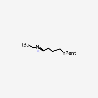 CCCCCCCC/C=N/CC(C)(C)C